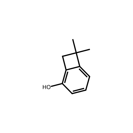 CC1(C)Cc2c(O)cccc21